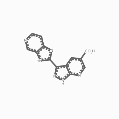 O=C(O)c1cnc2[nH]nc(-c3nc4ccncc4[nH]3)c2c1